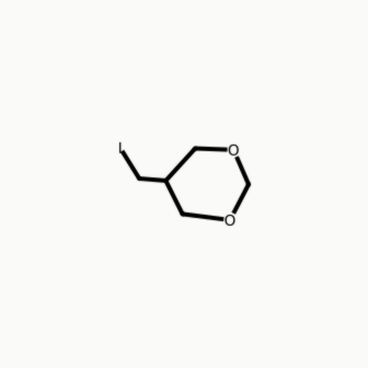 ICC1COCOC1